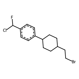 FC(Cl)c1ccc(C2CCC(CCBr)CC2)cc1